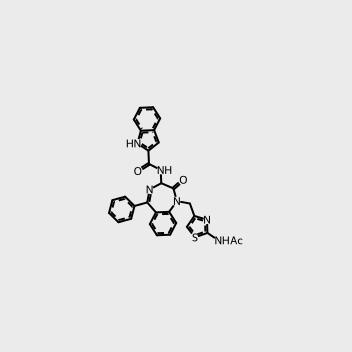 CC(=O)Nc1nc(CN2C(=O)C(NC(=O)c3cc4ccccc4[nH]3)N=C(c3ccccc3)c3ccccc32)cs1